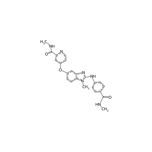 CNC(=O)c1ccc(Nc2nc3cc(Oc4ccnc(C(=O)NC)c4)ccc3n2C)cc1